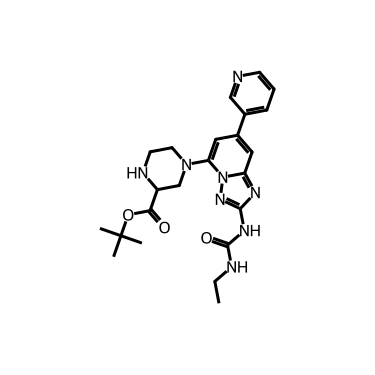 CCNC(=O)Nc1nc2cc(-c3cccnc3)cc(N3CCNC(C(=O)OC(C)(C)C)C3)n2n1